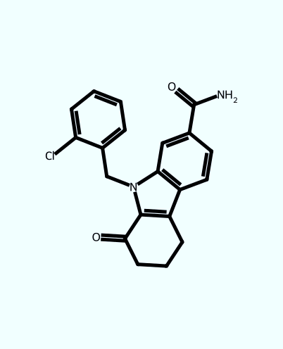 NC(=O)c1ccc2c3c(n(Cc4ccccc4Cl)c2c1)C(=O)CCC3